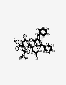 COC(=O)[C@@]1(CC(=O)N(C)C)CC(=O)OB([C@H](CC(C)C)NC(=O)[C@H](Cc2ccccc2)NC(=O)c2cnccn2)O1